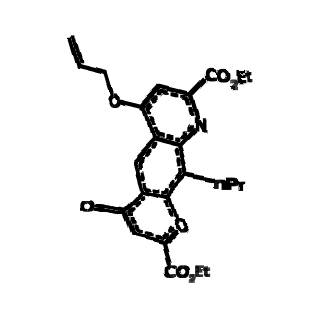 C=CCOc1cc(C(=O)OCC)nc2c(CCC)c3oc(C(=O)OCC)cc(=O)c3cc12